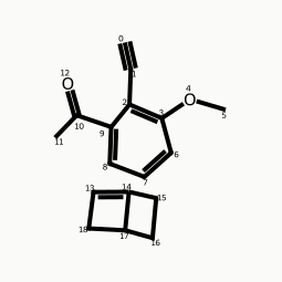 C#Cc1c(OC)cccc1C(C)=O.C1=C2CCC2C1